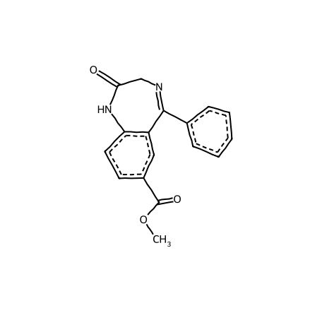 COC(=O)c1ccc2c(c1)C(c1ccccc1)=NCC(=O)N2